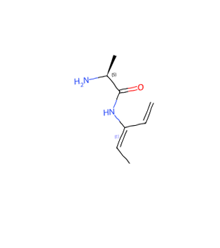 C=C/C(=C\C)NC(=O)[C@H](C)N